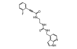 O=C(C#Cc1ccccc1F)NCCNC(=S)NCc1ccnc2[nH]ccc12